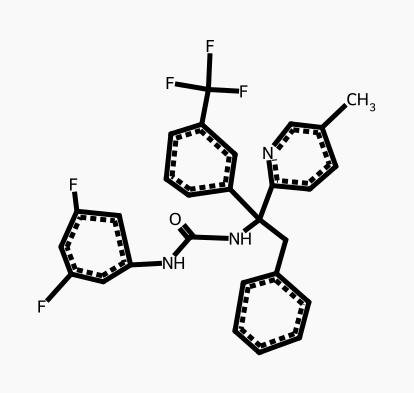 Cc1ccc(C(Cc2ccccc2)(NC(=O)Nc2cc(F)cc(F)c2)c2cccc(C(F)(F)F)c2)nc1